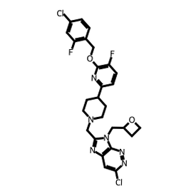 Fc1cc(Cl)ccc1COc1nc(C2CCN(Cc3nc4cc(Cl)nnc4n3CC3CCO3)CC2)ccc1F